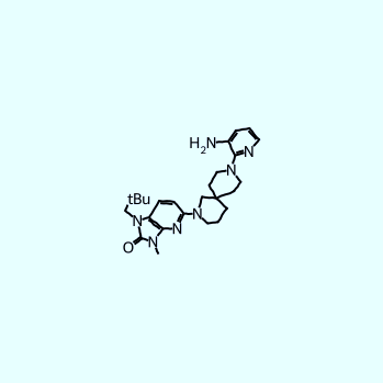 Cn1c(=O)n(CC(C)(C)C)c2ccc(N3CCCC4(CCN(c5ncccc5N)CC4)C3)nc21